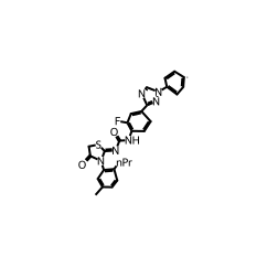 CCCc1ccc(C)cc1N1C(=O)CS/C1=N\C(=O)Nc1ccc(-c2ncn(-c3cc[c]cc3)n2)cc1F